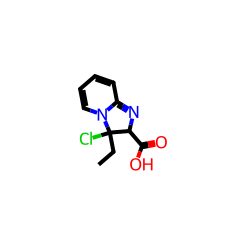 CCC1(Cl)C(C(=O)O)N=C2C=CC=CN21